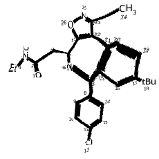 CCNC(=O)C[C@@H]1N=C(c2ccc(Cl)cc2)c2cc(C(C)(C)C)ccc2-c2c(C)noc21